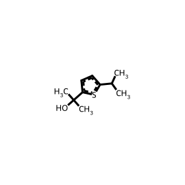 CC(C)c1ccc(C(C)(C)O)s1